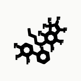 CCCCP(c1ccccc1-c1ccc(F)c(F)c1F)c1c(F)c(F)c2c(c1F)C(F)(F)C(F)=C2F